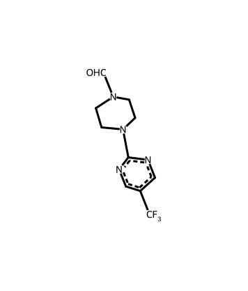 O=CN1CCN(c2ncc(C(F)(F)F)cn2)CC1